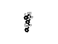 O=C(NCc1ccccc1)c1cc(Cn2c(=O)[nH]c(=O)c3c(F)cccc32)ccc1F